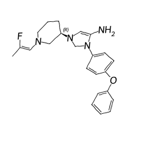 CC(F)=CN1CCC[C@@H](N2C=C(N)N(c3ccc(Oc4ccccc4)cc3)C2)C1